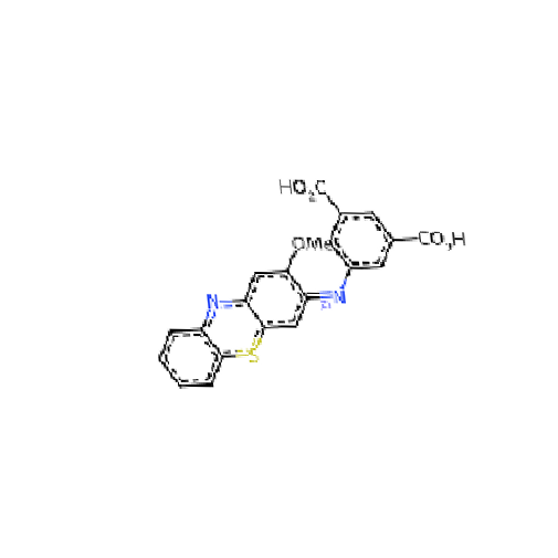 COc1cc2nc3ccccc3sc-2c/c1=N/c1cc(C(=O)O)cc(C(=O)O)c1